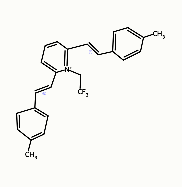 Cc1ccc(/C=C/c2cccc(/C=C/c3ccc(C)cc3)[n+]2CC(F)(F)F)cc1